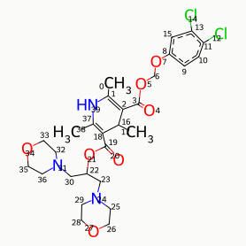 CC1=C(C(=O)OCOc2ccc(Cl)c(Cl)c2)C(C)C(C(=O)OC(CN2CCOCC2)CN2CCOCC2)=C(C)N1